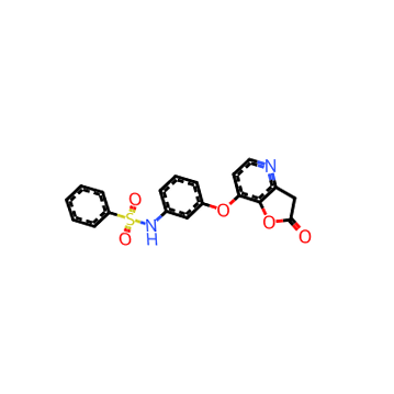 O=C1Cc2nccc(Oc3cccc(NS(=O)(=O)c4ccccc4)c3)c2O1